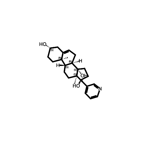 C[C@]12CC[C@H]3[C@@H](CC=C4C[C@@H](O)CC[C@@]43C)[C@@]1(O)CC[C@]2(O)c1cccnc1